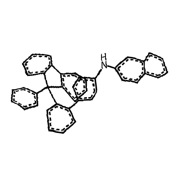 c1ccc(C2(c3ccccc3-c3ccc(Nc4ccc5ccccc5c4)cc3)c3ccccc3-c3ccccc32)cc1